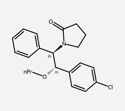 CCCO[C@@H](c1ccc(Cl)cc1)[C@@H](c1ccccc1)N1CCCC1=O